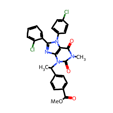 COC(=O)c1ccc(C(C)n2c(=O)n(C)c(=O)c3c2nc(-c2ccccc2Cl)n3-c2ccc(Cl)cc2)cc1